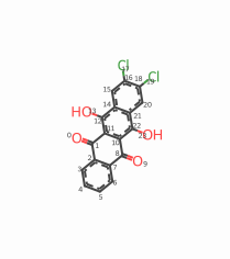 O=C1c2ccccc2C(=O)c2c1c(O)c1cc(Cl)c(Cl)cc1c2O